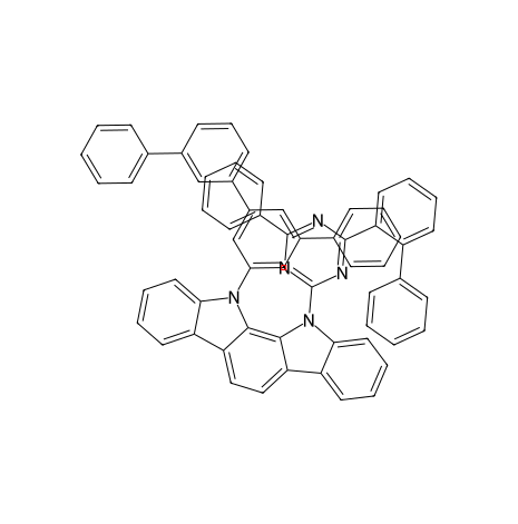 c1ccc(-c2cccc(-c3cc(-c4ccccc4)cc(-n4c5ccccc5c5ccc6c7ccccc7n(-c7nc(-c8ccccc8)nc(-c8ccccc8-c8ccccc8)n7)c6c54)c3)c2)cc1